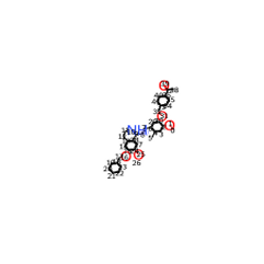 COc1cc(C)c(/C=C/C2NCCc3cc(OCc4ccccc4)c(OC)cc32)cc1OCc1ccc(C(C)=O)cc1